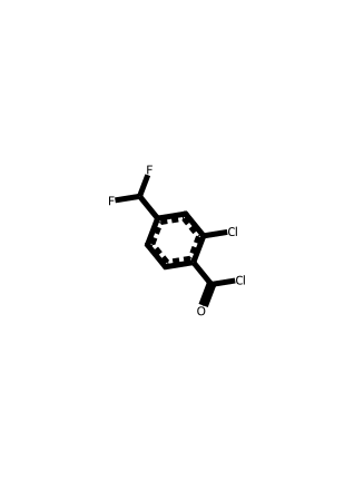 O=C(Cl)c1ccc(C(F)F)cc1Cl